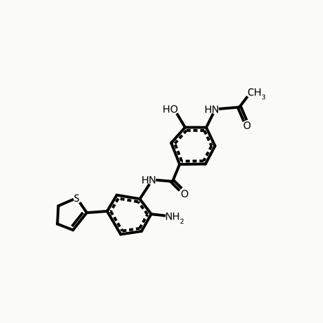 CC(=O)Nc1ccc(C(=O)Nc2cc(C3=CCCS3)ccc2N)cc1O